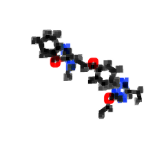 CCOn1nc(CC)nc1-c1ccc(OCCN(C)c2nc3ccccc3o2)cc1